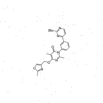 Cc1nc(COc2nc(C)n(-c3cccc(-c4ccnc(C(C)(C)C)n4)c3)c(=O)c2C)co1